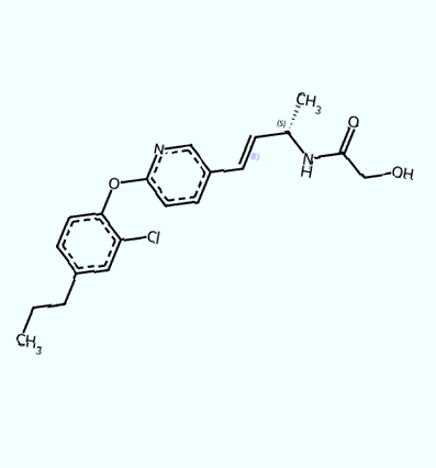 CCCc1ccc(Oc2ccc(/C=C/[C@H](C)NC(=O)CO)cn2)c(Cl)c1